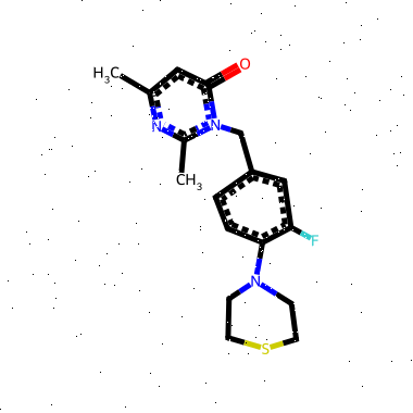 Cc1cc(=O)n(Cc2ccc(N3CCSCC3)c(F)c2)c(C)n1